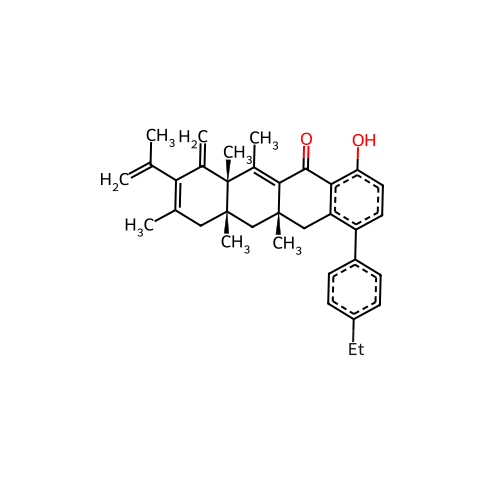 C=C(C)C1=C(C)C[C@@]2(C)C[C@@]3(C)Cc4c(-c5ccc(CC)cc5)ccc(O)c4C(=O)C3=C(C)[C@@]2(C)C1=C